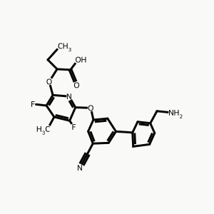 CCC(Oc1nc(Oc2cc(C#N)cc(-c3cccc(CN)c3)c2)c(F)c(C)c1F)C(=O)O